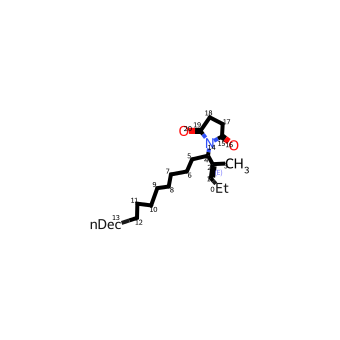 CC/C=C(\C)C(CCCCCCCCCCCCCCCCCC)N1C(=O)CCC1=O